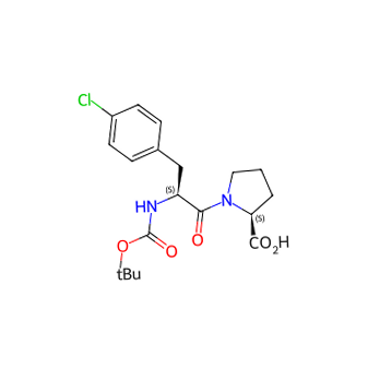 CC(C)(C)OC(=O)N[C@@H](Cc1ccc(Cl)cc1)C(=O)N1CCC[C@H]1C(=O)O